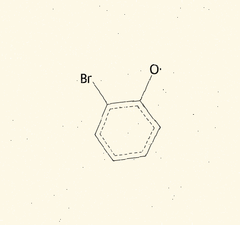 [O]c1ccccc1Br